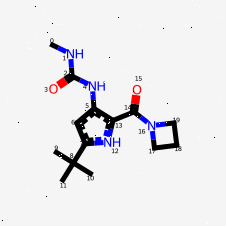 CNC(=O)Nc1cc(C(C)(C)C)[nH]c1C(=O)N1CCC1